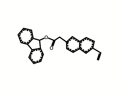 C=Cc1ccc2cc(CC(=O)OC3c4ccccc4-c4ccccc43)ccc2c1